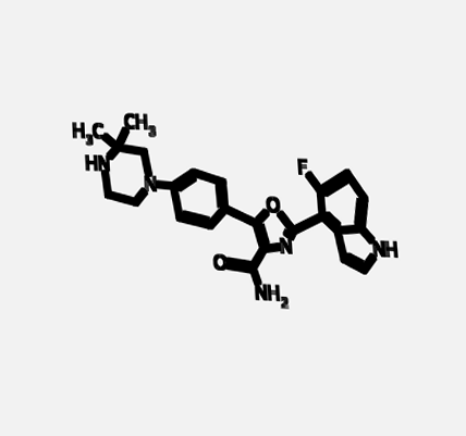 CC1(C)CN(c2ccc(-c3oc(-c4c(F)ccc5[nH]ccc45)nc3C(N)=O)cc2)CCN1